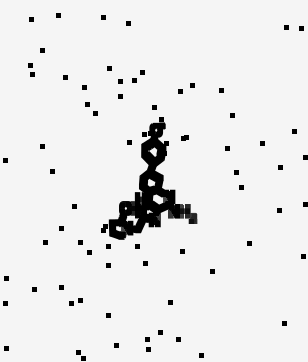 COc1ccc(-c2ccc3c(c2)nc(N)c2nc(CN4CCCC4O)[nH]c23)cc1